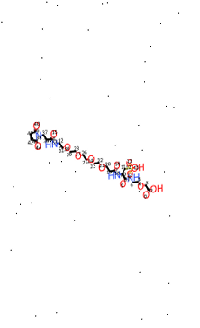 O=C(O)COCCNC(=O)[C@H](CS(=O)(=O)O)NC(=O)CCOCCOCCOCCOCCNC(=O)CCN1C(=O)C=CC1=O